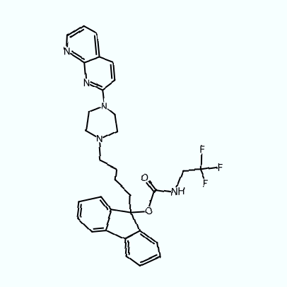 O=C(NCC(F)(F)F)OC1(CCCCN2CCN(c3ccc4cccnc4n3)CC2)c2ccccc2-c2ccccc21